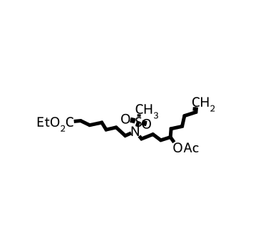 C=CCCCC(CCCN(CCCCCCC(=O)OCC)S(C)(=O)=O)OC(C)=O